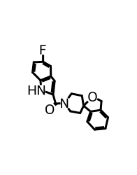 O=C(c1cc2cc(F)ccc2[nH]1)N1CCC2(CC1)OCc1ccccc12